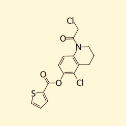 O=C(Oc1ccc2c(c1Cl)CCCN2C(=O)CCl)c1cccs1